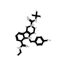 CCOC(=O)C1C=CC=C2C3=C(CCN(C(=O)OC(C)(C)C)C3)N(Cc3ccc(F)cc3)C21